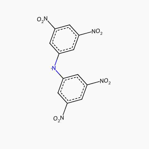 O=[N+]([O-])c1cc([N]c2cc([N+](=O)[O-])cc([N+](=O)[O-])c2)cc([N+](=O)[O-])c1